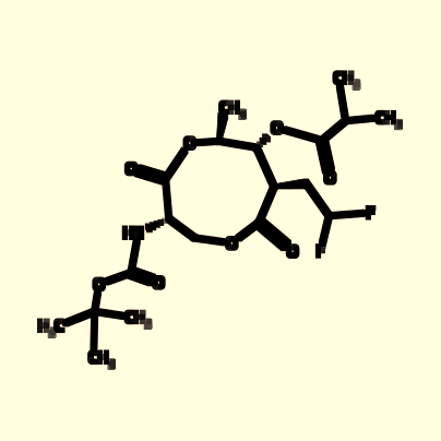 CC(C)C(=O)O[C@H]1[C@H](C)OC(=O)[C@@H](NC(=O)OC(C)(C)C)COC(=O)[C@@H]1CC(F)F